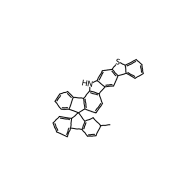 CC1C=CC2=C(C1)C1(c3ccccc32)c2ccccc2-c2c1ccc1c2[nH]c2cc3sc4ccccc4c3cc21